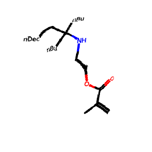 C=C(C)C(=O)OCCNC(CCCC)(CCCC)CCCCCCCCCCC